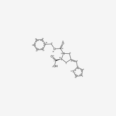 O=C(O)[C@@H]1CC(=Cc2cccs2)CN1C(=O)OCc1ccccc1